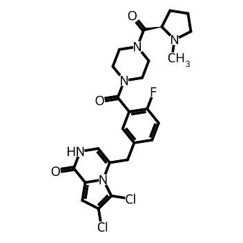 CN1CCC[C@@H]1C(=O)N1CCN(C(=O)c2cc(Cc3c[nH]c(=O)c4cc(Cl)c(Cl)n34)ccc2F)CC1